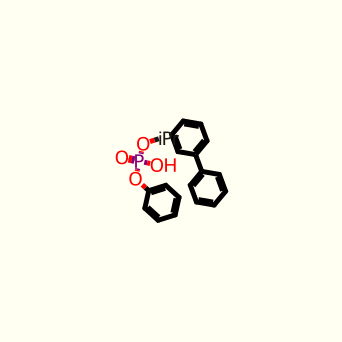 CC(C)OP(=O)(O)Oc1ccccc1.c1ccc(-c2ccccc2)cc1